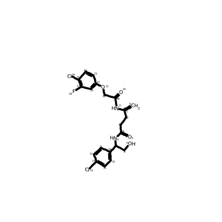 C=C(CCC(=O)NC(CO)c1ccc(Cl)cc1)NC(=O)COc1ccc(Cl)c(F)c1